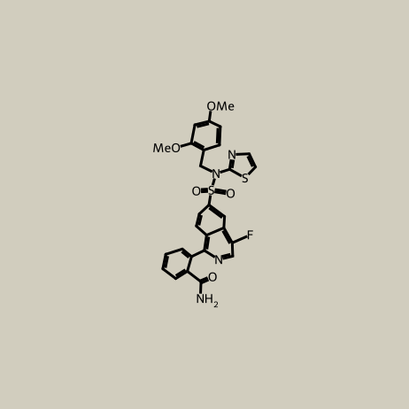 COc1ccc(CN(c2nccs2)S(=O)(=O)c2ccc3c(-c4ccccc4C(N)=O)ncc(F)c3c2)c(OC)c1